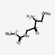 CNCC(N)C(=O)CNC(=O)OC(C)(C)C